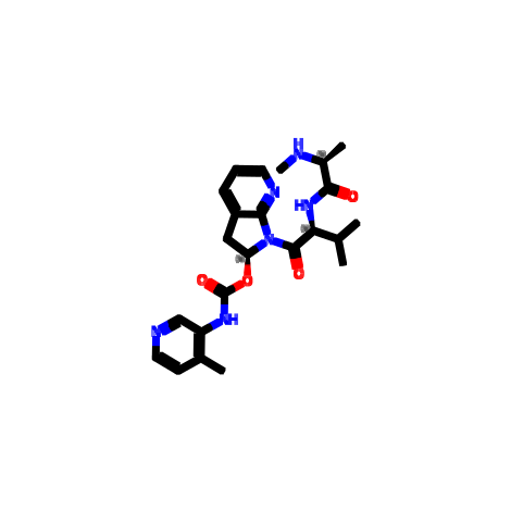 CN[C@@H](C)C(=O)N[C@H](C(=O)N1c2ncccc2C[C@@H]1OC(=O)Nc1cnccc1C)C(C)C